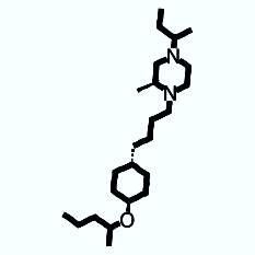 CCCC(C)O[C@H]1CC[C@H](CCCCN2CCN(C(C)CC)C[C@@H]2C)CC1